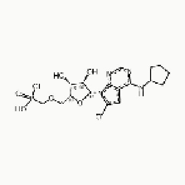 O=P(O)(O)COC[C@H]1O[C@@H](n2c(Cl)cc3c(NC4CCCC4)ncnc32)[C@H](O)[C@@H]1O